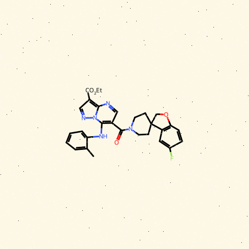 CCOC(=O)c1cnn2c(Nc3ccccc3C)c(C(=O)N3CCC4(CC3)COc3ccc(F)cc34)cnc12